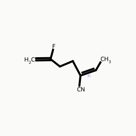 C=C(F)CC/C(C#N)=C\C